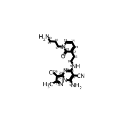 Cc1nn2c(N)c(C#N)c(NCCc3cccn(CCCN)c3=O)nc2c1Cl